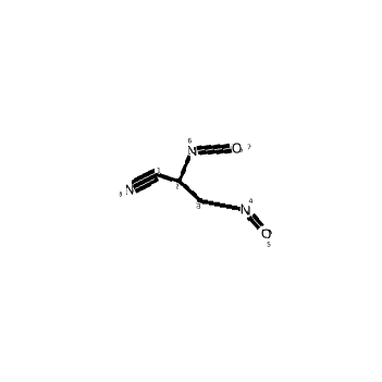 N#CC(CN=O)N=O